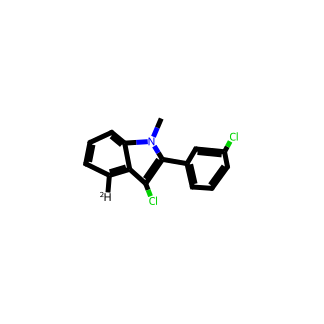 [2H]c1cccc2c1c(Cl)c(-c1cccc(Cl)c1)n2C